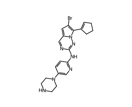 Brc1cc2cnc(Nc3ccc(N4CCNCC4)cn3)nn2c1C1=CCCC1